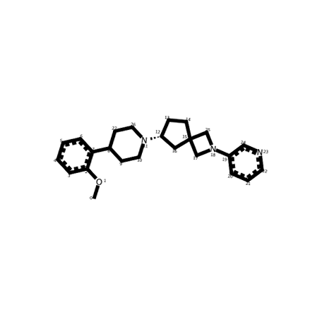 COc1ccccc1C1CCN([C@@H]2CCC3(C2)CN(c2cccnc2)C3)CC1